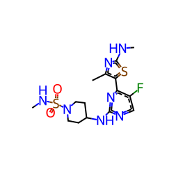 CNc1nc(C)c(-c2nc(NC3CCN(S(=O)(=O)NC)CC3)ncc2F)s1